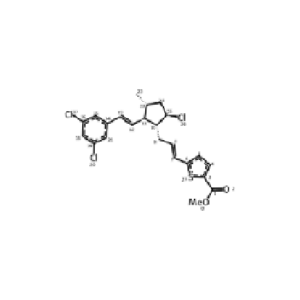 COC(=O)c1ccc(C=CC[C@@H]2[C@@H](C=Cc3cc(Cl)cc(Cl)c3)[C@H](C)C[C@H]2Cl)s1